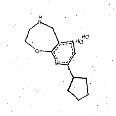 Cl.Cl.c1cc2c(nc1C1CCCC1)OCCNC2